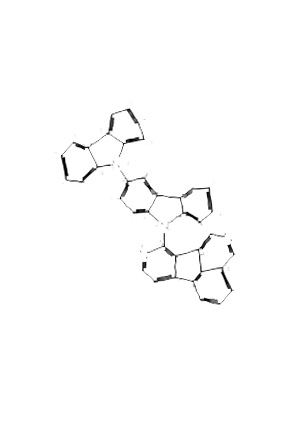 c1cc2c3c(cncc3c1)-c1c-2ccnc1-n1c2ccccc2c2cc(-n3c4ccccc4c4ccccc43)ccc21